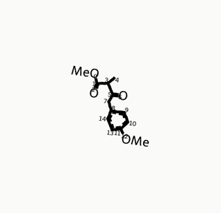 COC(=O)C(C)C(=O)Cc1ccc(OC)cc1